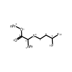 CCCOC(=O)C(CCC)SCCC(F)F